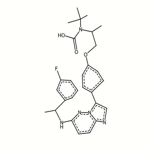 CC(Nc1ccc2ncc(-c3ccc(OCC(C)N(C(=O)O)C(C)(C)C)cc3)n2n1)c1cccc(F)c1